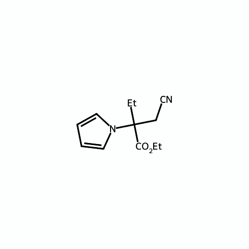 CCOC(=O)C(CC)(CC#N)n1cccc1